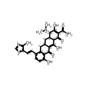 Cc1ncsc1/C=C/c1ccc(O)c2c1CC1CC3C(C(=O)C(C(N)=O)=C(O)[C@H]3N(C)C)C(O)=C1C2=O